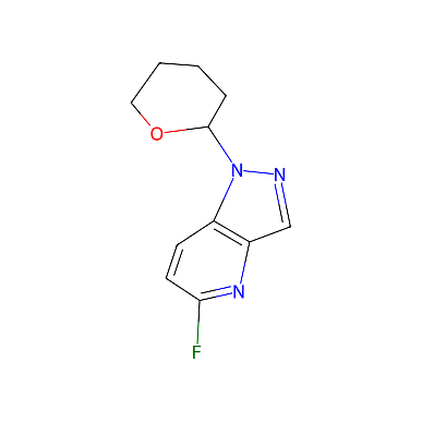 Fc1ccc2c(cnn2C2CCCCO2)n1